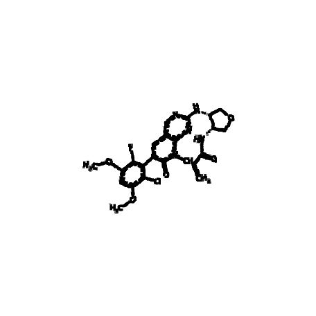 C=CC(=O)N[C@H]1COC[C@H]1Nc1ncc2cc(-c3c(F)c(OC)cc(OC)c3Cl)c(=O)n(C)c2n1